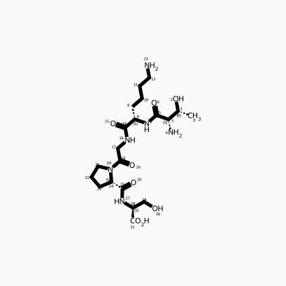 C[C@@H](O)[C@H](N)C(=O)N[C@@H](CCCCN)C(=O)NCC(=O)N1CCC[C@H]1C(=O)N[C@@H](CO)C(=O)O